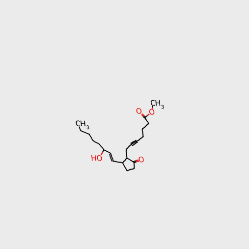 CCCCCC(O)C=CC1CCC(=O)C1CC#CCCCC(=O)OC